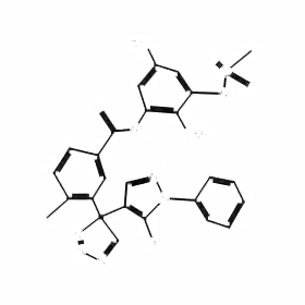 COc1c(NC(=O)c2ccc(C)c(C3(c4cnn(-c5ccccc5)c4C(C)C)C=NN=N3)c2)cc(C(C)(C)C)cc1NS(C)(=O)=O